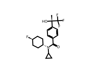 C[C@](O)(c1ccc(C(=O)N(C2CC2)[C@H]2CC[C@H](F)CC2)cc1)C(F)(F)F